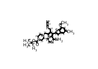 COc1cc(C)cc2cc(-c3c(CN=[N+]=[N-])c(CN4CCN(C(=O)OC(C)(C)C)CC4)n4ncnc(N)c34)sc12